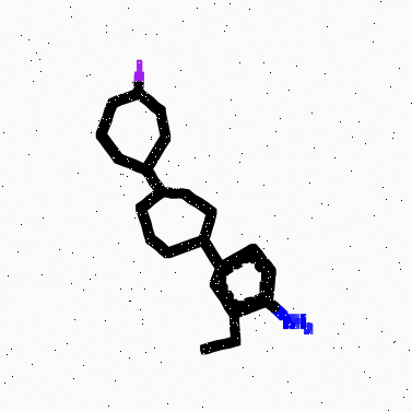 CCc1cc(C2CCCC(C3CCCC(I)CC3)CC2)ccc1N